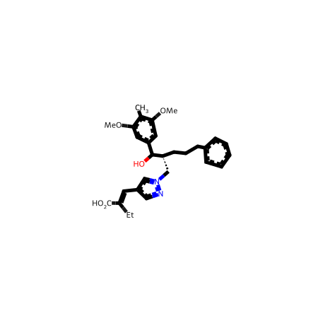 CC/C(=C\c1cnn(C[C@@H](CCCc2ccccc2)C(O)c2cc(OC)c(C)c(OC)c2)c1)C(=O)O